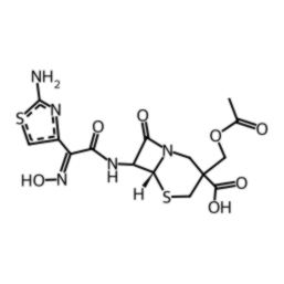 CC(=O)OCC1(C(=O)O)CS[C@@H]2C(NC(=O)C(=NO)c3csc(N)n3)C(=O)N2C1